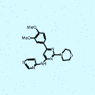 COc1ccc(-c2cc(Nc3ccncn3)nc(N3CCOCC3)n2)cc1OC